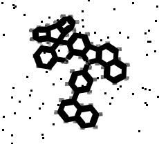 c1ccc2c(c1)Sc1c(ccc3c4ccc5ccccc5c4n(-c4ccc(-c5cccc6ccccc56)cc4)c13)C21c2ccccc2-c2ccccc21